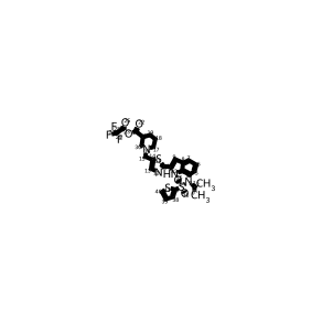 CC(C)N(c1cccc2cc(-c3ncc(CN4CCCC(C(=O)OC(=O)C(F)(F)F)C4)s3)[nH]c12)S(=O)(=O)c1cccs1